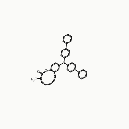 Cc1cccccc2cc(N(c3ccc(-c4ccccc4)cc3)c3ccc(-c4ccccc4)cc3)ccc2oc1=O